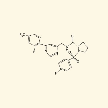 O=C(NCc1cc(-c2ccc(C(F)(F)F)cc2F)ncn1)[C@@H]1CCCN1S(=O)(=O)c1ccc(F)cc1